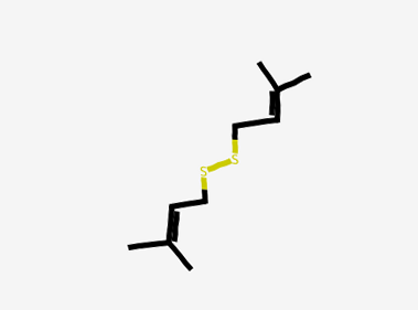 CC(C)=CCSSCC=C(C)C